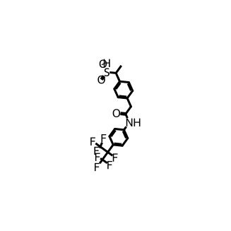 CC(c1ccc(CC(=O)Nc2ccc(C(F)(C(F)(F)F)C(F)(F)F)cc2)cc1)[SH](=O)=O